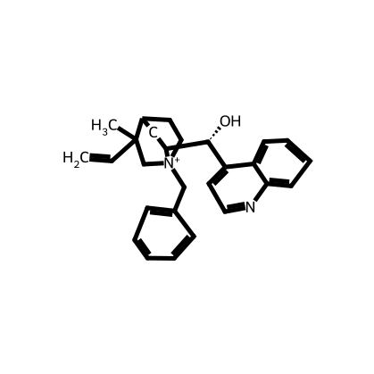 C=CC1(C)C[N+]2(Cc3ccccc3)CCC1CC2[C@H](O)c1ccnc2ccccc12